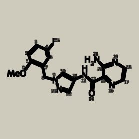 COc1ccc(F)cc1Cn1cc(NC(=O)c2nccnc2N)cn1